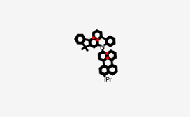 CC(C)c1ccc(-c2ccc(N(c3ccc4c(c3)C(C)(C)c3ccccc3-4)c3ccccc3-c3ccccc3)cc2)c2c(-c3ccccc3)cccc12